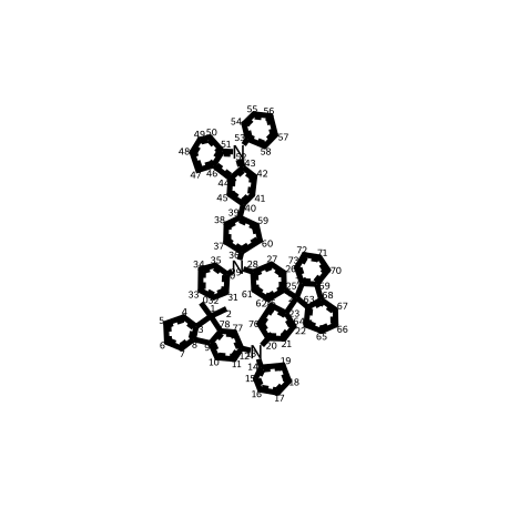 CC1(C)c2ccccc2-c2ccc(N(c3ccccc3)c3ccc(C4(c5ccc(N(c6ccccc6)c6ccc(-c7ccc8c(c7)c7ccccc7n8-c7ccccc7)cc6)cc5)c5ccccc5-c5ccccc54)cc3)cc21